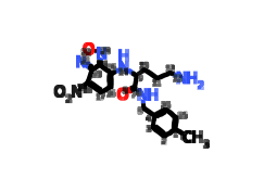 Cc1ccc(CNC(=O)[C@H](CCCN)Nc2ccc([N+](=O)[O-])c3nonc23)cc1